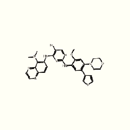 COc1cc(N2CCOCC2)c(-c2ccsc2)cc1Nc1ncc(Br)c(Nc2ccc3nccnc3c2P(C)C)n1